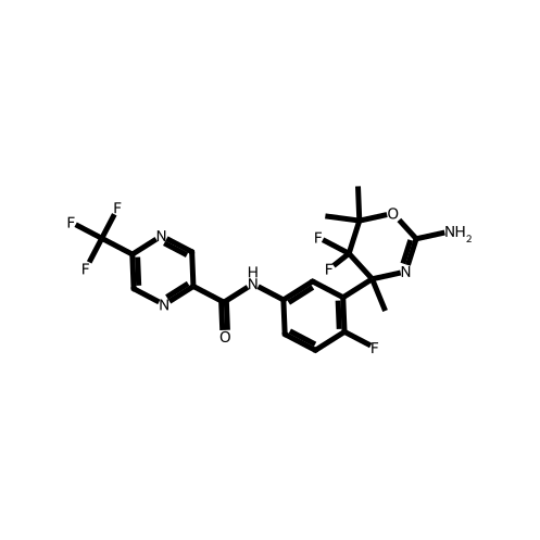 CC1(C)OC(N)=NC(C)(c2cc(NC(=O)c3cnc(C(F)(F)F)cn3)ccc2F)C1(F)F